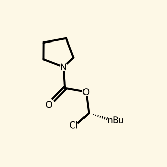 CCCC[C@H](Cl)OC(=O)N1CCCC1